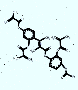 C=C(C)C(=O)Oc1ccc(/C(C)=C(\C)C(=O)Oc2ccc(OC(=O)C(C)C)cc2OC(=O)C(=C)C)c(OC(=O)C(=C)C)c1